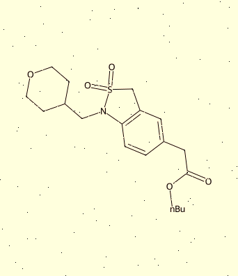 CCCCOC(=O)Cc1ccc2c(c1)CS(=O)(=O)N2CC1CCOCC1